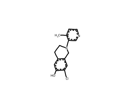 Cc1ccncc1N1CCc2cc(O)c(Cl)cc2C1